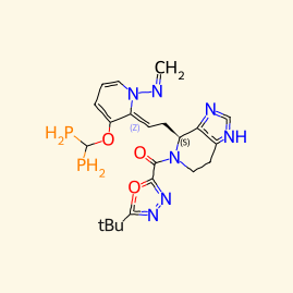 C=NN1C=CC=C(OC(P)P)/C1=C/C[C@H]1c2nc[nH]c2CCN1C(=O)c1nnc(C(C)(C)C)o1